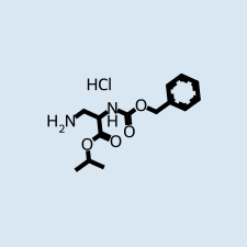 CC(C)OC(=O)C(CN)NC(=O)OCc1ccccc1.Cl